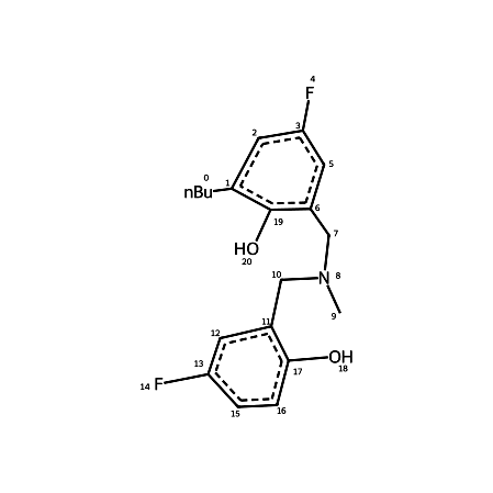 CCCCc1cc(F)cc(CN(C)Cc2cc(F)ccc2O)c1O